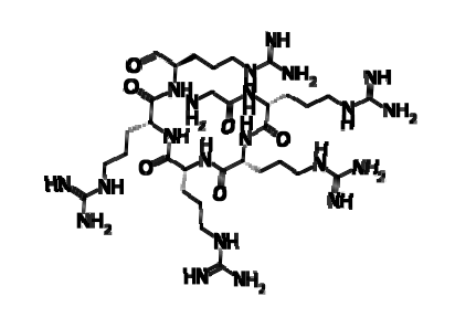 N=C(N)NCCC[C@H](C=O)NC(=O)[C@@H](CCCNC(=N)N)NC(=O)[C@@H](CCCNC(=N)N)NC(=O)[C@@H](CCCNC(=N)N)NC(=O)[C@@H](CCCNC(=N)N)NC(=O)CN